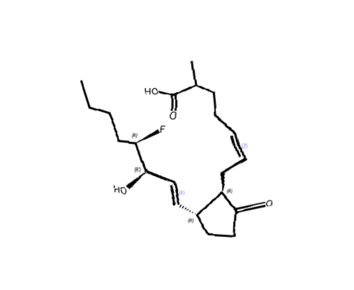 CCCC[C@@H](F)[C@H](O)/C=C/[C@H]1CCC(=O)[C@@H]1C/C=C\CCC(C)C(=O)O